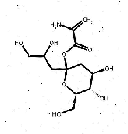 C=C(N)C(=O)OC1(CC(O)CO)C[C@@H](O)[C@H](O)[C@@H](CO)O1